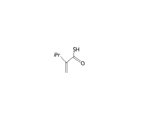 C=C(C(=O)S)C(C)C